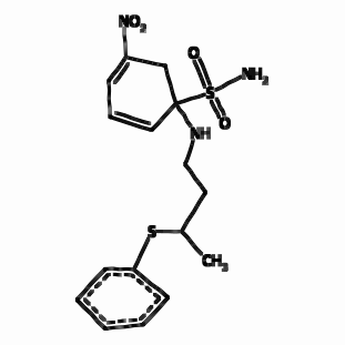 CC(CCNC1(S(N)(=O)=O)C=CC=C([N+](=O)[O-])C1)Sc1ccccc1